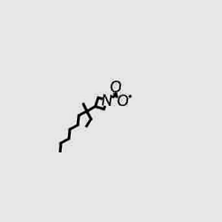 CCCCCCC(C)(CC)C1CN(C(=O)OC)C1